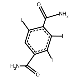 NC(=O)c1cc(I)c(C(N)=O)c(I)c1I